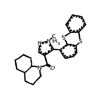 Cn1ncc(C(=O)N2CCCC3CCCCC32)c1-c1cccc2c1Sc1ccccc1S2